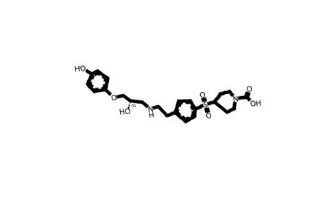 O=C(O)N1CCC(S(=O)(=O)c2ccc(CCNC[C@H](O)COc3ccc(O)cc3)cc2)CC1